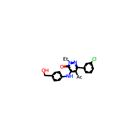 CCn1nc(-c2cccc(Cl)c2)c(C(C)=O)c(Nc2ccc(CO)cc2)c1=O